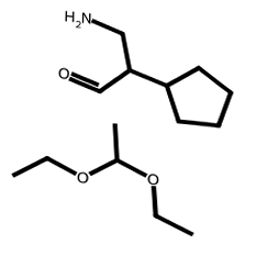 CCOC(C)OCC.NCC(C=O)C1CCCC1